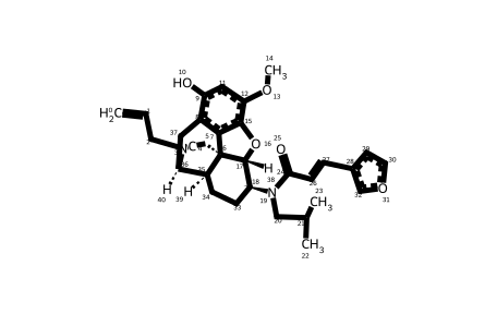 C=CCN1CC[C@]23c4c5c(O)cc(OC)c4O[C@@H]2[C@@H](N(CC(C)C)C(=O)C=Cc2ccoc2)CC[C@H]3[C@H]1C5